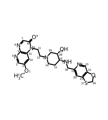 COc1cnc2ncc(=O)n(CCN3CC[C@H](NCc4cc5c(cn4)OCS5)[C@H](O)C3)c2c1